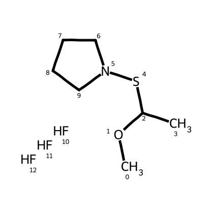 COC(C)SN1CCCC1.F.F.F